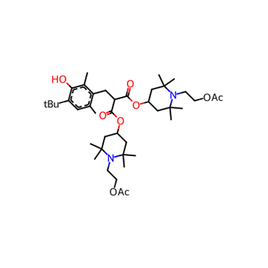 CC(=O)OCCN1C(C)(C)CC(OC(=O)C(Cc2c(C)cc(C(C)(C)C)c(O)c2C)C(=O)OC2CC(C)(C)N(CCOC(C)=O)C(C)(C)C2)CC1(C)C